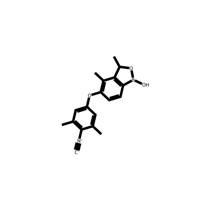 [C-]#[N+]c1c(C)cc(Oc2ccc3c(c2C)C(C)OB3O)cc1C